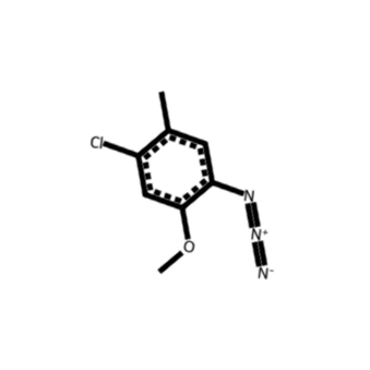 COc1cc(Cl)c(C)cc1N=[N+]=[N-]